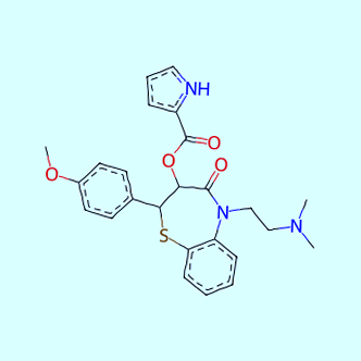 COc1ccc(C2Sc3ccccc3N(CCN(C)C)C(=O)C2OC(=O)c2ccc[nH]2)cc1